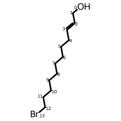 OC/C=C/CCCCCCCCCBr